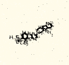 CP(C)(=O)c1cccc(Sc2ncc(N3CCC4(CC3)Cc3ncccc3[C@H]4N)nc2N)c1Cl